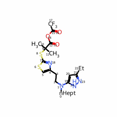 CCCCCCCN(CCc1csc(SC(C)(C)C(=O)OC(=O)C(F)(F)F)n1)c1cc(CC)n[nH]1